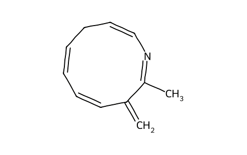 C=C1/C=C\C=C/C/C=C\N=C/1C